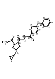 NC(=O)C1CC(OC2CC2)CN1C(=O)CNC(=O)c1ccc(Oc2ccccc2)cc1